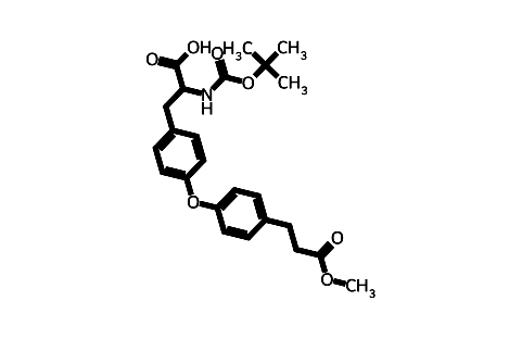 COC(=O)CCc1ccc(Oc2ccc(CC(NC(=O)OC(C)(C)C)C(=O)O)cc2)cc1